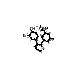 Cc1ccc(-c2cccnc2-c2cc(F)cc(S(N)(=O)=O)c2)cc1Br